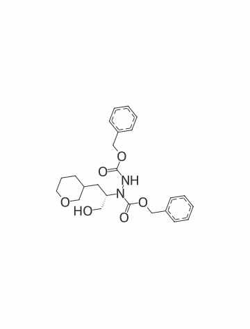 O=C(NN(C(=O)OCc1ccccc1)[C@H](CO)CC1CCCOC1)OCc1ccccc1